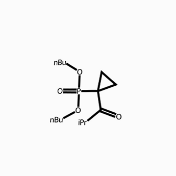 CCCCOP(=O)(OCCCC)C1(C(=O)C(C)C)CC1